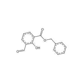 O=Cc1cccc(C(=O)OCc2ccccc2)c1O